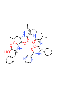 CCCC(NC(=O)[C@@H]1[C@@H](CC)CCN1C(=O)[C@@H](NC(=O)[C@@H](NC(=O)c1cnccn1)C1CCCCC1)C(C)C)C(=O)C(=O)N[C@@H](Cc1ccccc1)C(=O)O